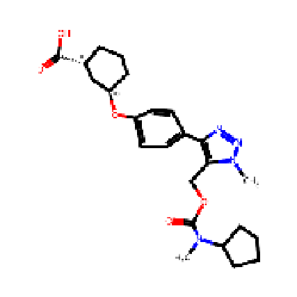 CN(C(=O)OCc1c(-c2ccc(O[C@@H]3CCC[C@@H](C(=O)O)C3)cc2)nnn1C)C1CCCC1